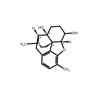 Cc1ccc2c3c1O[C@H]1C(O)CC[C@@]4(O)[C@@H](C2)N(C)CC[C@]314